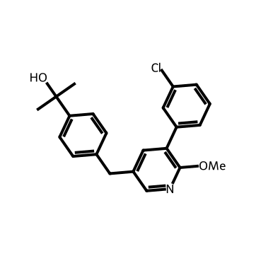 COc1ncc(Cc2ccc(C(C)(C)O)cc2)cc1-c1cccc(Cl)c1